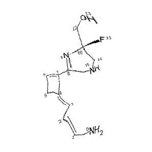 N/C=C\C=C1/CC=C1C1=N[C@](F)(CO)CN1